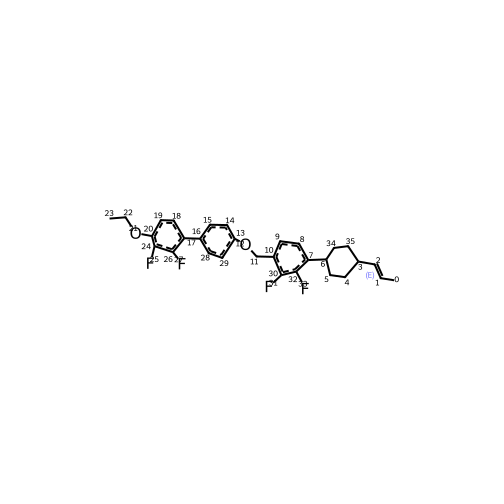 C/C=C/C1CCC(c2ccc(COc3ccc(-c4ccc(OCC)c(F)c4F)cc3)c(F)c2F)CC1